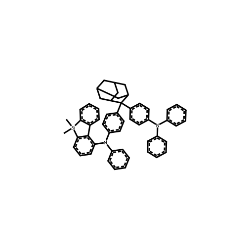 C[Si]1(C)c2ccccc2-c2c(N(c3ccccc3)c3ccc(C4(c5ccc(N(c6ccccc6)c6ccccc6)cc5)C5CC6CC(C5)CC4C6)cc3)cccc21